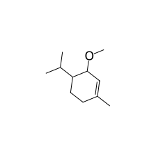 COC1C=C(C)CCC1C(C)C